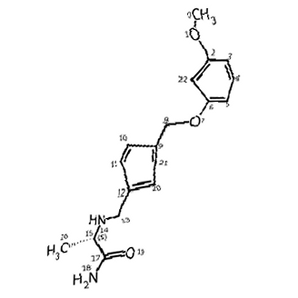 COc1cccc(OCc2ccc(CN[C@@H](C)C(N)=O)cc2)c1